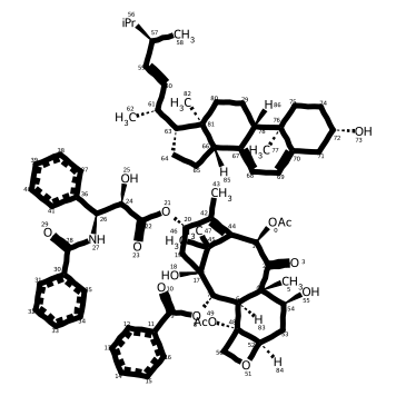 CC(=O)O[C@H]1C(=O)[C@@]2(C)[C@H]([C@H](OC(=O)c3ccccc3)[C@]3(O)C[C@H](OC(=O)[C@H](O)[C@@H](NC(=O)c4ccccc4)c4ccccc4)C(C)=C1C3(C)C)[C@]1(OC(C)=O)CO[C@@H]1C[C@@H]2O.CC(C)[C@@H](C)/C=C/[C@@H](C)[C@H]1CC[C@H]2C3=CC=C4C[C@@H](O)CC[C@]4(C)[C@H]3CC[C@]12C